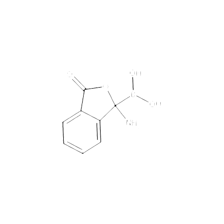 NC1(B(O)O)OC(=O)c2ccccc21